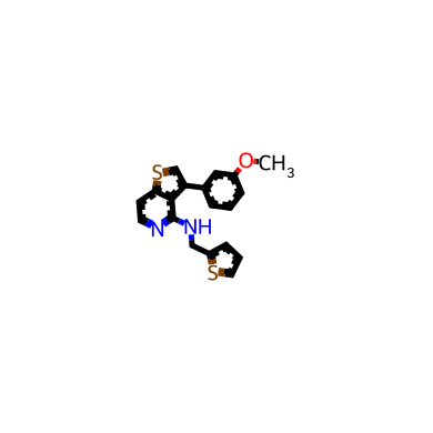 COc1cccc(-c2csc3ccnc(NCc4cccs4)c23)c1